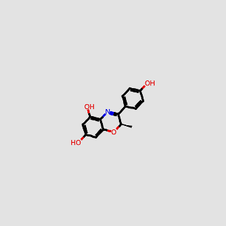 C[C@H]1Oc2cc(O)cc(O)c2N=C1c1ccc(O)cc1